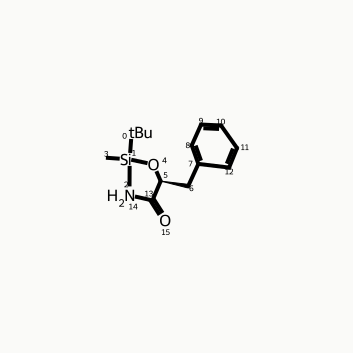 CC(C)(C)[Si](C)(C)O[C@@H](Cc1ccccc1)C(N)=O